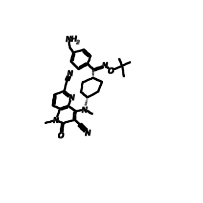 Cn1c(=O)c(C#N)c(N(C)[C@H]2CC[C@@H](/C(=N\OC(C)(C)C)c3ccc(CN)cc3)CC2)c2nc(C#N)ccc21